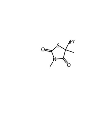 CC(C)C1(C)SC(=O)N(C)C1=O